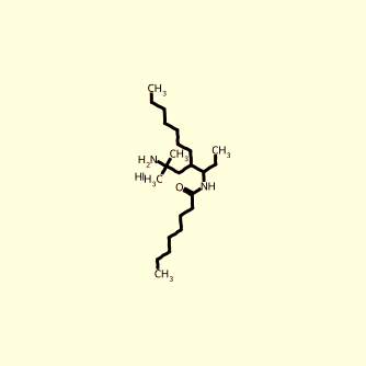 CCCCCCCC(=O)NC(CC)C(CCCCCCC)CC(C)(C)N.I